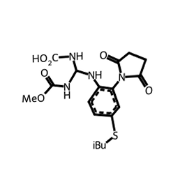 CCC(C)Sc1ccc(NC(NC(=O)O)NC(=O)OC)c(N2C(=O)CCC2=O)c1